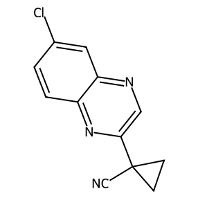 N#CC1(c2cnc3cc(Cl)ccc3n2)CC1